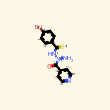 NN(NC(=S)c1ccc(Br)cc1)C(=O)c1ccncc1